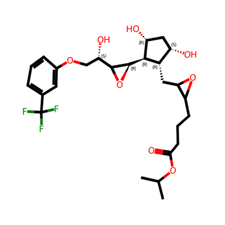 CC(C)OC(=O)CCCC1OC1C[C@@H]1[C@@H]([C@H]2OC2[C@@H](O)COc2cccc(C(F)(F)F)c2)[C@H](O)C[C@@H]1O